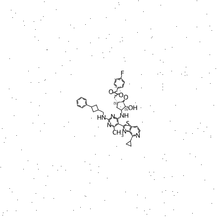 Cc1nc(NCC2CC(c3ccccc3)C2)nc(NC2C[C@H](CS(=O)(=O)c3ccc(F)cc3)C(=O)[C@H]2O)c1-c1nc2c(C3CC3)nccc2s1